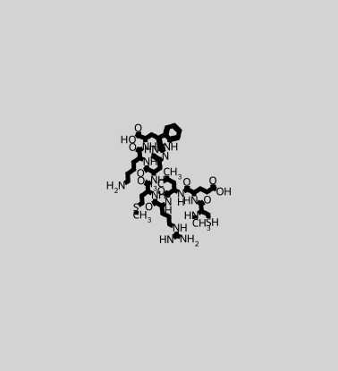 CNC(CS)C(=O)NC(CCC(=O)O)C(=O)NC(CC(C)C)C(=O)NC(CCCNC(=N)N)C(=O)NC(CCSC)C(=O)NC(Cc1c[nH]cn1)C(=O)NC(CCCCN)C(=O)NC(Cc1c[nH]c2ccccc12)C(=O)O